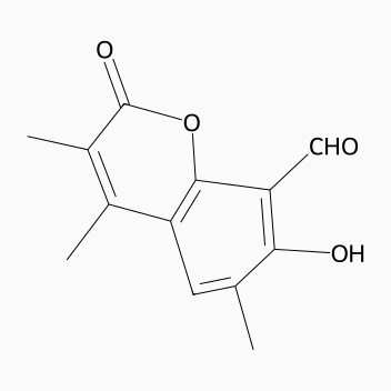 Cc1cc2c(C)c(C)c(=O)oc2c(C=O)c1O